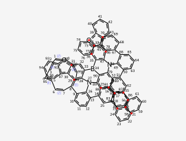 C1=C\C=C\C=C\C=C/C(c2cccc(-c3cccc(-c4ccccc4)c3)c2N2c3cc4c(cc3B3c5cc6oc7ccccc7c6cc5N(c5c(-c6cccc(-c7ccccc7)c6)cccc5-c5cccc(-c6ccccc6)c5)c5cc(-c6ccccc6)cc2c53)oc2ccccc24)=C\C=C/1